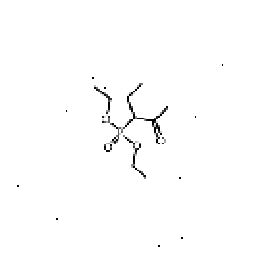 CCOP(=O)(OCC)C(CC)C(C)=O